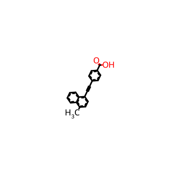 Cc1ccc(C#Cc2ccc(C(=O)O)cc2)c2ccccc12